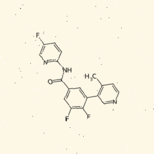 Cc1ccncc1-c1cc(C(=O)Nc2ccc(F)cn2)cc(F)c1F